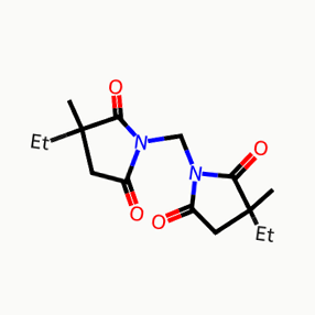 CCC1(C)CC(=O)N(CN2C(=O)CC(C)(CC)C2=O)C1=O